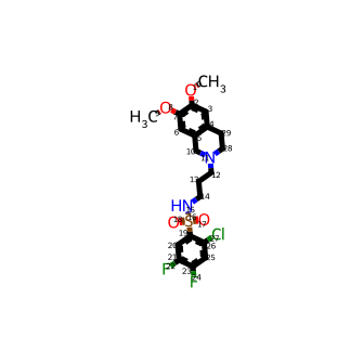 COc1cc2c(cc1OC)CN(CCCNS(=O)(=O)c1cc(F)c(F)cc1Cl)CC2